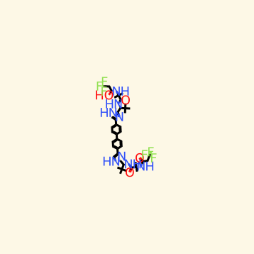 CC(C)(NC(=O)CC(F)(F)F)C(=O)N[C@H](c1nc(-c2ccc(-c3ccc(-c4c[nH]c([C@@H](NC(=O)C(C)(C)NC(O)CC(F)(F)F)C(C)(C)C)n4)cc3)cc2)c[nH]1)C(C)(C)C